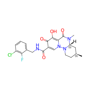 C[C@H]1CCN2[C@@H](C1)N(C)C(=O)c1c(O)c(=O)c(C(=O)NCc3cccc(Cl)c3F)cn12